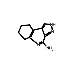 Nc1nc2c(c3c[nH]nc13)CCCC2